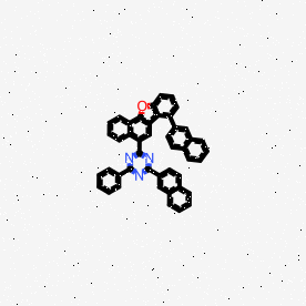 c1ccc(-c2nc(-c3ccc4ccccc4c3)nc(-c3cc4c(oc5cccc(-c6ccc7ccccc7c6)c54)c4ccccc34)n2)cc1